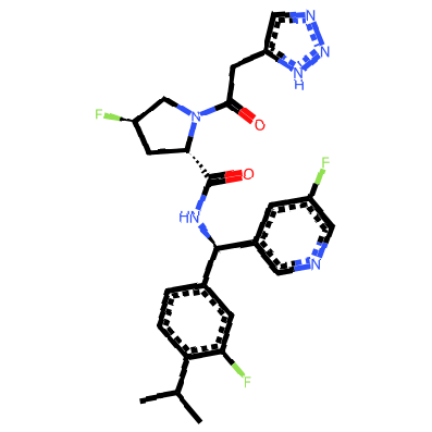 CC(C)c1ccc([C@@H](NC(=O)[C@@H]2C[C@@H](F)CN2C(=O)Cc2cnn[nH]2)c2cncc(F)c2)cc1F